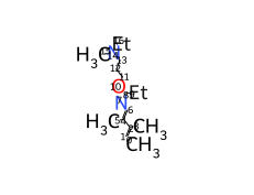 C/C=C(C)/C(C)=C/N=C(\CC)OCCCN(C)CC